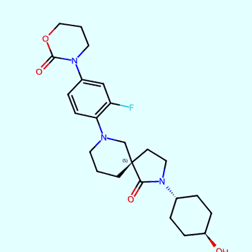 O=C1OCCCN1c1ccc(N2CCC[C@]3(CCN([C@H]4CC[C@H](O)CC4)C3=O)C2)c(F)c1